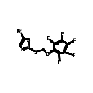 Fc1c(F)c(F)c(OCSc2ncc(Br)s2)c(F)c1F